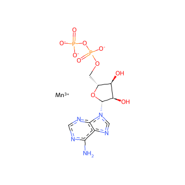 Nc1ncnc2c1ncn2[C@@H]1O[C@H](COP(=O)([O-])OP(=O)([O-])[O-])[C@@H](O)[C@H]1O.[Mn+3]